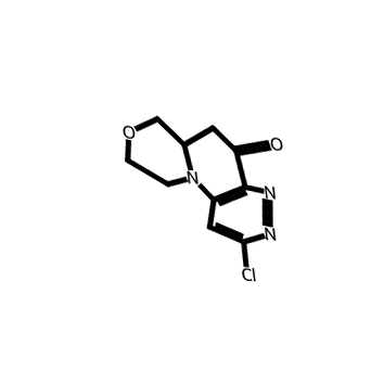 O=C1CC2COCCN2c2cc(Cl)nnc21